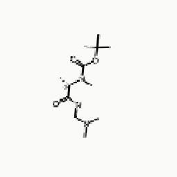 C[C@@H](C(=O)N=CN(C)C)N(C)C(=O)OC(C)(C)C